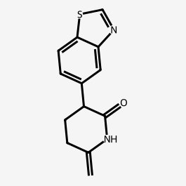 C=C1CCC(c2ccc3scnc3c2)C(=O)N1